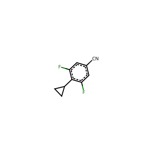 N#Cc1cc(F)c(C2CC2)c(F)c1